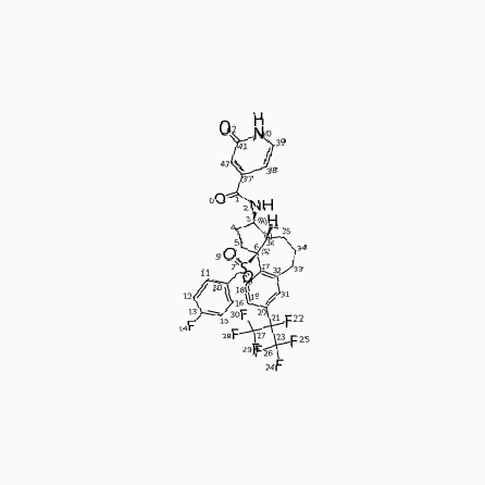 O=C(N[C@@H]1CC[C@@]2(S(=O)(=O)c3ccc(F)cc3)c3ccc(C(F)(C(F)(F)F)C(F)(F)F)cc3CCC[C@@H]12)c1cc[nH]c(=O)c1